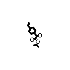 C=Cc1ccc(C(=O)C(=O)OC(C)C)cc1